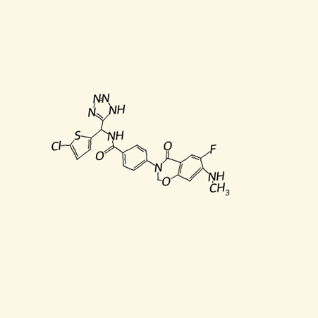 CNc1cc2c(cc1F)C(=O)N(c1ccc(C(=O)NC(c3nnn[nH]3)c3ccc(Cl)s3)cc1)CO2